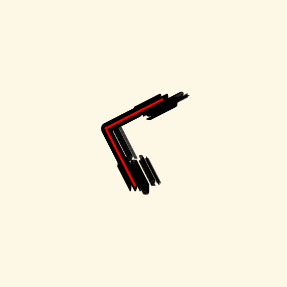 [Mg+2].[Mg+2].[Mg+2].[Mg+2].[Mg+2].[Mg+2].[Mg+2].[Mg+2].[Mg+2].[Mg+2].[Mg+2].[Mg+2].[Mg+2].[Mg+2].[Mg+2].[Mg+2].[Mg+2].[Mg+2].[Mg+2].[Mg+2].[Mg+2].[Mg+2].[Mg+2].[Mg+2].[Mg+2].[Mg+2].[Mg+2].[Mg+2].[Mg+2].[Mg+2].[Mg+2].[Mg+2].[Mg+2].[Mg+2].[Mg+2].[Mg+2].[Mg+2].[Mg+2].[Mg+2].[Mg+2].[Mg+2].[Mg+2].[Mg+2].[Mg+2].[Mg+2].[Mg+2].[Mg+2].[Mg+2].[Mg+2].[Mg+2].[Mg+2].[Mg+2].[Mg+2].[Mg+2].[Mg+2].[Mg+2].[Mg+2].[Mg+2].[Mg+2].[Mg+2].[Mg+2].[Mg+2].[Mg+2].[Mg+2].[Mg+2].[O-2].[O-2].[O-2].[O-2].[O-2].[O-2].[O-2].[O-2].[O-2].[O-2].[O-2].[O-2].[O-2].[O-2].[O-2].[O-2].[O-2].[O-2].[O-2].[O-2].[O-2].[O-2].[O-2].[O-2].[O-2].[O-2].[O-2].[O-2].[O-2].[O-2].[O-2].[O-2].[O-2].[O-2].[O-2].[O-2].[O-2].[O-2].[O-2].[O-2].[O-2].[O-2].[O-2].[O-2].[O-2].[O-2].[O-2].[O-2].[O-2].[O-2].[O-2].[O-2].[O-2].[O-2].[O-2].[O-2].[O-2].[O-2].[O-2].[O-2].[O-2].[O-2].[O-2].[O-2].[O-2].[O-2].[O-2].[O-2].[O-2].[O-2].[O-2].[O-2].[O-2].[O-2].[O-2].[O-2].[O-2].[O-2].[O-2].[O-2].[O-2].[O-2].[O-2].[O-2]